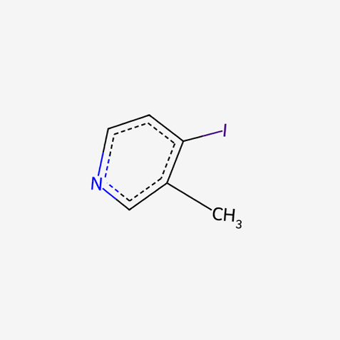 Cc1cnccc1I